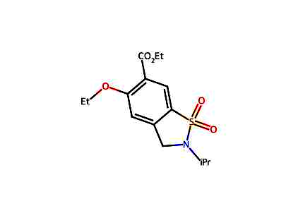 CCOC(=O)c1cc2c(cc1OCC)CN(C(C)C)S2(=O)=O